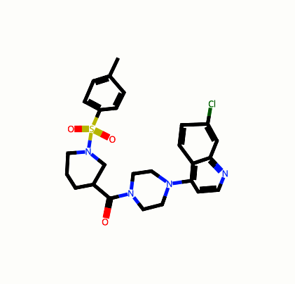 Cc1ccc(S(=O)(=O)N2CCCC(C(=O)N3CCN(c4ccnc5cc(Cl)ccc45)CC3)C2)cc1